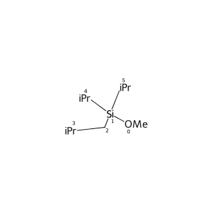 CO[Si](CC(C)C)(C(C)C)C(C)C